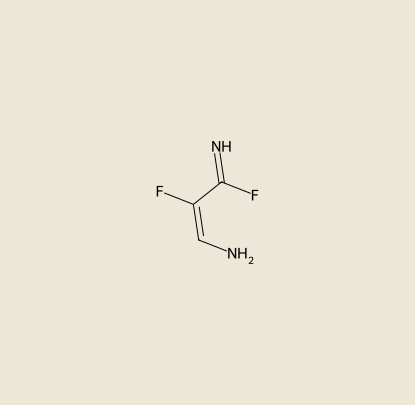 N=C(F)/C(F)=C\N